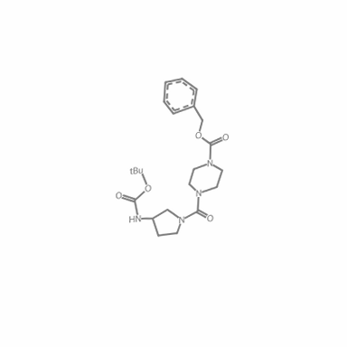 CC(C)(C)OC(=O)NC1CCN(C(=O)N2CCN(C(=O)OCc3ccccc3)CC2)C1